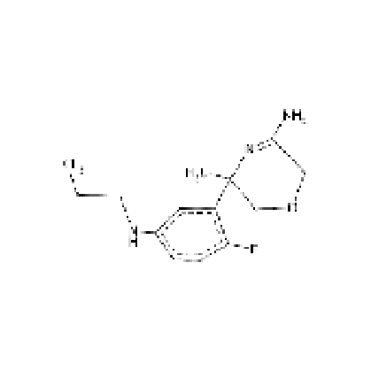 CC1(c2cc(NCCC(F)(F)F)ccc2F)COCC(N)=N1